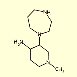 CN1CCC(N)C(N2CCCNCC2)C1